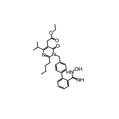 CCCCc1nc(C(C)C)c(CC(=O)OCC)c(=O)n1Cc1ccc(-c2ccccc2C(=N)NO)cc1